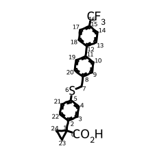 O=C(O)C1(c2ccc(SCc3ccc(-c4ccc(C(F)(F)F)cc4)cc3)cc2)CC1